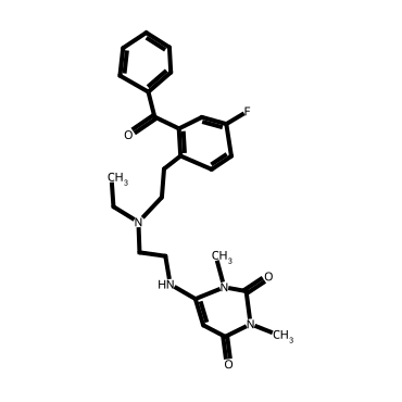 CCN(CCNc1cc(=O)n(C)c(=O)n1C)CCc1ccc(F)cc1C(=O)c1ccccc1